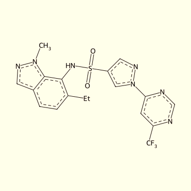 CCc1ccc2cnn(C)c2c1NS(=O)(=O)c1cnn(-c2cc(C(F)(F)F)ncn2)c1